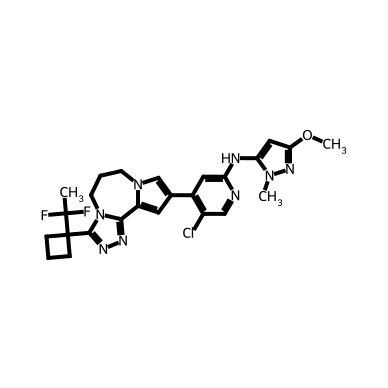 COc1cc(Nc2cc(-c3cc4n(c3)CCCn3c-4nnc3C3(C(C)(F)F)CCC3)c(Cl)cn2)n(C)n1